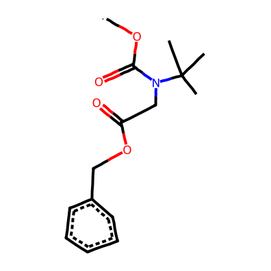 [CH2]OC(=O)N(CC(=O)OCc1ccccc1)C(C)(C)C